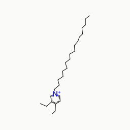 CCCCCCCCCCCCCCCCCC[n+]1ccc(CC)c(CC)c1